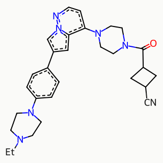 CCN1CCN(c2ccc(-c3cc4c(N5CCN(C(=O)C6CC(C#N)C6)CC5)ccnn4c3)cc2)CC1